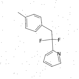 Cc1ccc(CC(F)(F)c2ccccn2)cc1